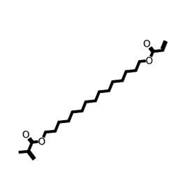 C=CC(=O)OCCCCCCCCCCCCCCCOC(=O)C(=C)C